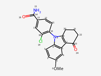 COc1ccc2c(c1)c1c(n2-c2ccc(C(N)=O)cc2Cl)CCCC1=O